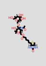 CC(=O)NC1(C)C(C)(COC[C@]2(C)OC(C)(CO)[C@@H](C)C(C)(O)C2(C)O)[C@H](O)C(C)(C)O[C@@]1(C)COC(=O)CCCCC1SC[C@@H]2NC(=O)N[C@H]12